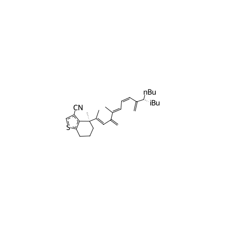 C=C(/C=C(\C)[C@@]1(C)CCCc2scc(C#N)c21)/C(C)=C/C=C\C(=C)C(CCCC)[C@@H](C)CC